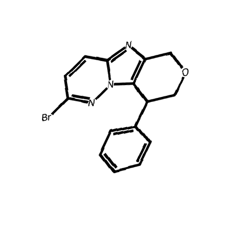 Brc1ccc2nc3c(n2n1)C(c1ccccc1)COC3